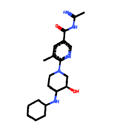 CC(=N)NC(=O)c1cnc(N2CCC(NC3CCCCC3)[C@H](O)C2)c(C)c1